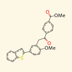 COC(=O)c1ccc(C(=O)Cc2cc(-c3cc4ccccc4s3)ccc2OC)cc1